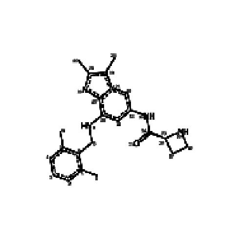 Cc1cccc(C)c1CNc1cc(NC(=O)[C@@H]2CCN2)cn2c(C)c(C)nc12